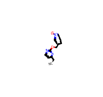 N#CCc1ccnc(OCc2ccc[n+]([O-])c2)n1